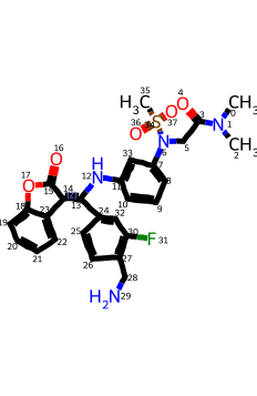 CN(C)C(=O)CN(c1cccc(N/C(=C2\C(=O)Oc3ccccc32)c2ccc(CN)c(F)c2)c1)S(C)(=O)=O